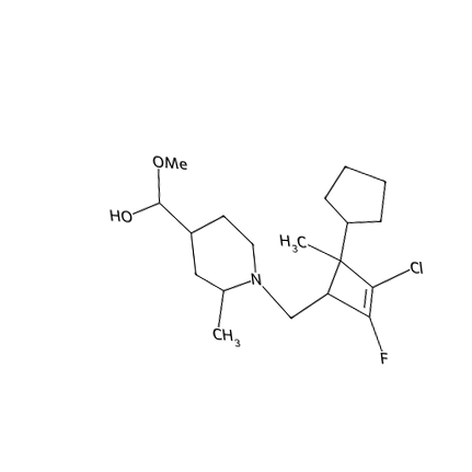 COC(O)C1CCN(CC2C(F)=C(Cl)C2(C)C2CCCC2)C(C)C1